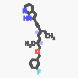 C=C/C(C#Cc1cc2cccnc2[nH]1)=C\C=C(/C)COCc1cccc(F)c1